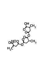 C=C(CC(=O)OC(=O)CC(C)C(=O)OC(=O)CC(=C)C(=O)O)C(=O)O